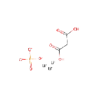 O=C(O)CC(=O)O.O=P([O-])([O-])[O-].[Li+].[Li+].[Li+]